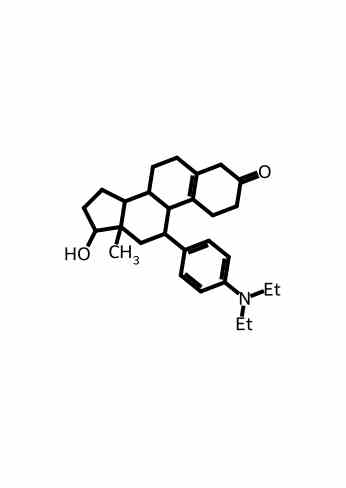 CCN(CC)c1ccc(C2CC3(C)C(O)CCC3C3CCC4=C(CCC(=O)C4)C23)cc1